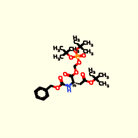 CC(C)(C)OC(=O)C[C@H](NC(=O)OCc1ccccc1)C(=O)OCOP(=O)(OC(C)(C)C)OC(C)(C)C